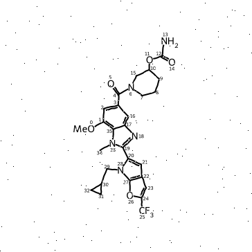 COc1cc(C(=O)N2CCCC(OC(N)=O)C2)cc2nc(-c3cc4cc(C(F)(F)F)oc4n3CC3CC3)n(C)c12